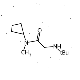 CN(C(=O)CNC(C)(C)C)C1CCC1